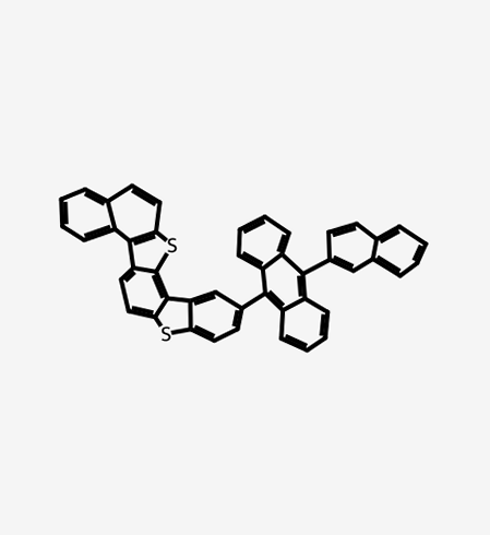 c1ccc2cc(-c3c4ccccc4c(-c4ccc5sc6ccc7c(sc8ccc9ccccc9c87)c6c5c4)c4ccccc34)ccc2c1